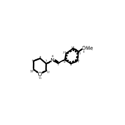 COc1ccc(C=NC2CCCOC2)cc1